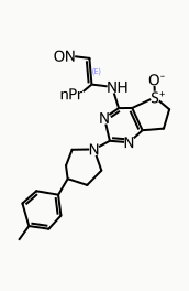 CCC/C(=C\N=O)Nc1nc(N2CCC(c3ccc(C)cc3)CC2)nc2c1[S+]([O-])CC2